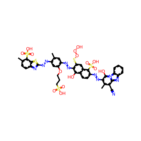 Cc1cc(N=Nc2c(SOOO)cc3c(S(=O)(=O)O)c(N=Nc4c(C)c(C#N)c5nc6ccccc6n5c4O)ccc3c2O)c(OCCCS(=O)(=O)O)cc1N=Nc1nc2ccc(C)c(S(=O)(=O)O)c2s1